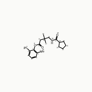 CC(C)c1cccc(C(C)C)c1OC(=O)CC(C)(C)CNC(=O)C1CCCC1